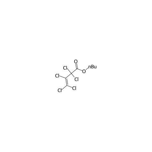 CCCCOC(=O)C(Cl)(Cl)C(Cl)=C(Cl)Cl